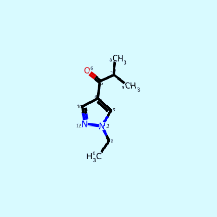 CCn1cc(C(=O)C(C)C)cn1